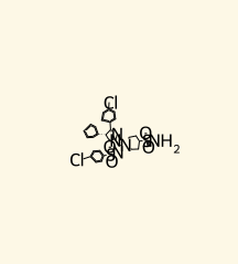 NS(=O)(=O)C1CCN(/C(=N/S(=O)(=O)c2ccc(Cl)cc2)N2C[C@H](c3ccccc3)C(c3ccc(Cl)cc3)=N2)CC1